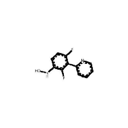 ONc1ccc(F)c(-c2ccccn2)c1F